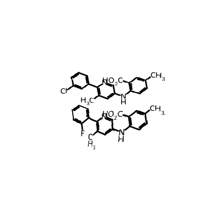 Cc1ccc(Nc2cnc(-c3cccc(Cl)c3)c(C)c2)c(C(=O)O)c1.Cc1ccc(Nc2cnc(-c3ccccc3F)c(C)c2)c(C(=O)O)c1